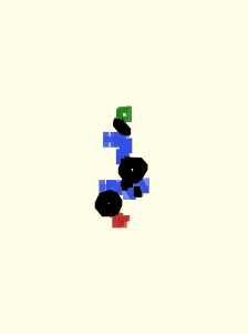 ClCCN/N=N/c1ccc2ncnc(Nc3cccc(Br)c3)c2c1